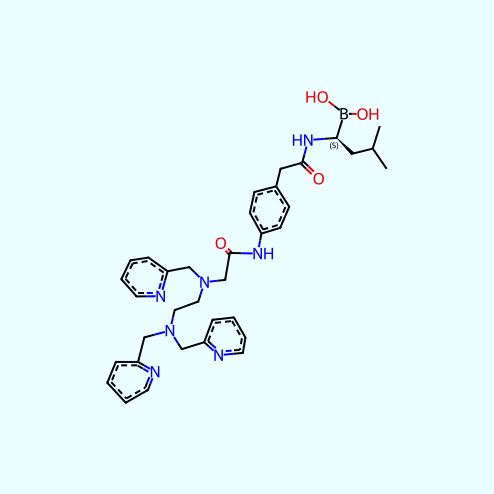 CC(C)C[C@@H](NC(=O)Cc1ccc(NC(=O)CN(CCN(Cc2ccccn2)Cc2ccccn2)Cc2ccccn2)cc1)B(O)O